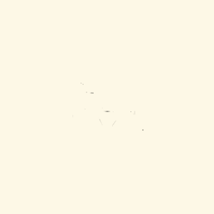 CC(C)(Cc1ccc(C(N)CO)cc1)OC(N)=O